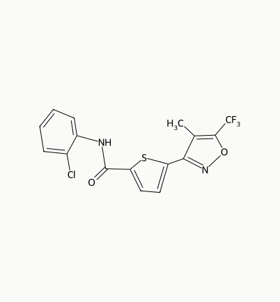 Cc1c(-c2ccc(C(=O)Nc3ccccc3Cl)s2)noc1C(F)(F)F